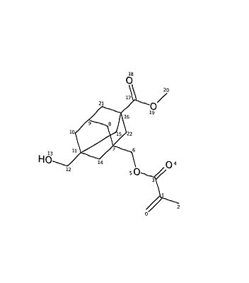 C=C(C)C(=O)OCC12CC3CC(CO)(C1)CC(C(=O)OC)(C3)C2